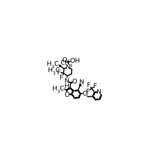 Cc1oc2ccc(OCc3cccnc3C(F)(F)F)c(C#N)c2c1C(=O)NC1CCN(C(=O)O)C(C(C)(C)C)C1(F)F